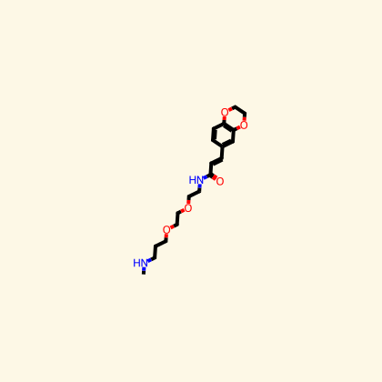 CNCCCOCCOCCNC(=O)/C=C/c1ccc2c(c1)OCCO2